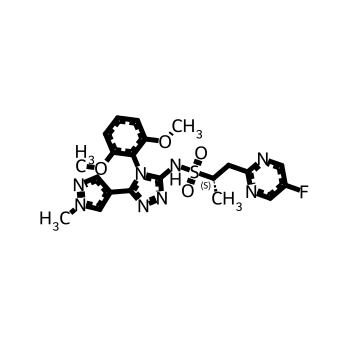 COc1cccc(OC)c1-n1c(NS(=O)(=O)[C@@H](C)Cc2ncc(F)cn2)nnc1-c1cnn(C)c1